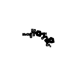 COC(=O)NS(=O)(=O)c1ccc(NC(=O)Cn2cc(C)c3ccccc32)cc1